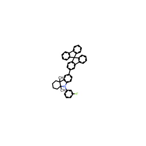 CC12CCCCC1(C)N(c1cccc(F)c1)c1ccc(-c3ccc4c(c3)-c3ccccc3C43c4ccccc4-c4ccccc43)cc12